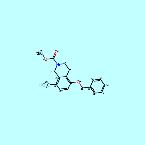 CC(C)(C)OC(=O)N1CCc2c(OCc3ccccc3)ccc(C(=O)O)c2C1